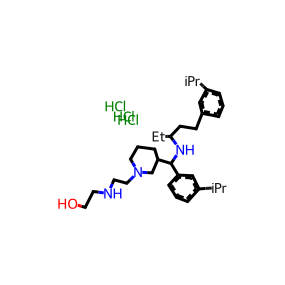 CCC(CCc1cccc(C(C)C)c1)NC(c1cccc(C(C)C)c1)C1CCCN(CCNCCO)C1.Cl.Cl.Cl